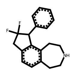 FC1(F)Cc2ccc3c(c2C1c1ccccc1)CCNCC3